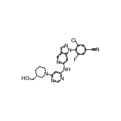 N#Cc1cc(F)c(-n2ncc3cnc(Nc4cc(N5CCC[C@H](CO)C5)ncn4)cc32)c(Cl)c1